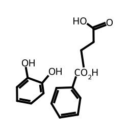 CCCC(=O)O.O=C(O)c1ccccc1.Oc1ccccc1O